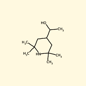 CC(O)C1CC(C)(C)NC(C)(C)C1